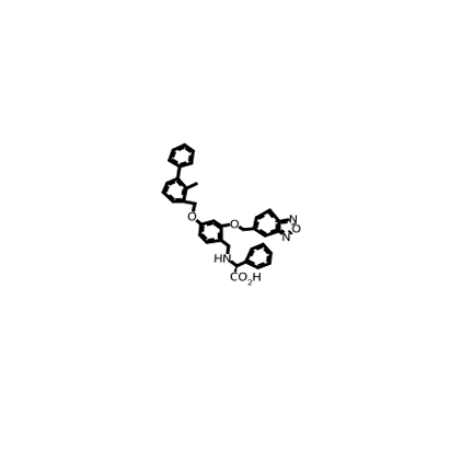 Cc1c(COc2ccc(CN[C@H](C(=O)O)c3ccccc3)c(OCc3ccc4nonc4c3)c2)cccc1-c1ccccc1